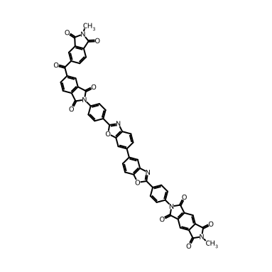 CN1C(=O)c2ccc(C(=O)c3ccc4c(c3)C(=O)N(c3ccc(-c5nc6ccc(-c7ccc8oc(-c9ccc(-n%10c(=O)c%11cc%12c(=O)n(C)c(=O)c%12cc%11c%10=O)cc9)nc8c7)cc6o5)cc3)C4=O)cc2C1=O